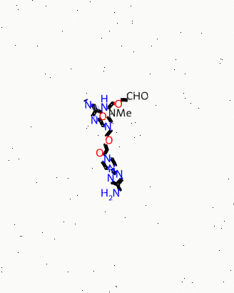 C=N/C=C(\C=N/CCN(CCNC)CCOCCC(=O)N1CCN(c2ncc(CN)cn2)CC1)C(=O)NCCOCCC=O